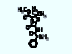 COC(=O)C1N2C(=O)C(NC(=O)C(N)c3ccccc3)C2SC1(C)C